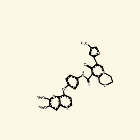 COc1cc2nccc(Oc3ccc(NC(=O)c4c5n(cc(-c6cc(C)cs6)c4=O)CCOC5)cc3)c2nc1OC